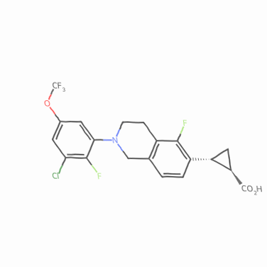 O=C(O)[C@@H]1C[C@H]1c1ccc2c(c1F)CCN(c1cc(OC(F)(F)F)cc(Cl)c1F)C2